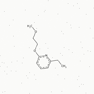 CCc1cccc(OCCOC)n1